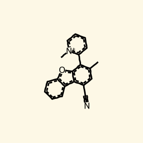 Cc1cc(C#N)c2c(oc3ccccc32)c1-c1cccc[n+]1C